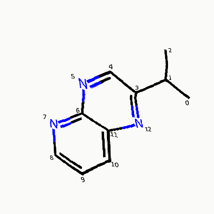 CC(C)c1cnc2ncccc2n1